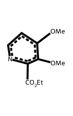 CCOC(=O)c1nccc(OC)c1OC